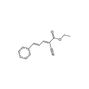 CCOC(=O)/C(C#N)=C/C=C/c1ccccc1